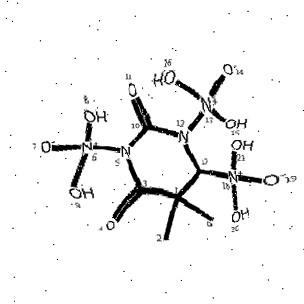 CC1(C)C(=O)N([N+]([O-])(O)O)C(=O)N([N+]([O-])(O)O)C1[N+]([O-])(O)O